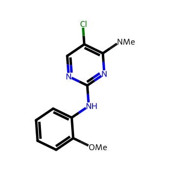 CNc1nc(Nc2ccccc2OC)ncc1Cl